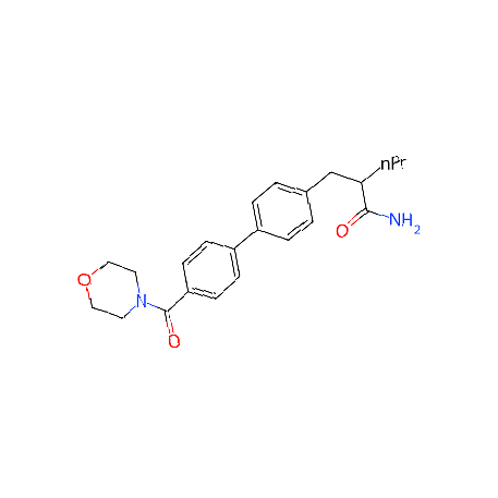 CCCC(Cc1ccc(-c2ccc(C(=O)N3CCOCC3)cc2)cc1)C(N)=O